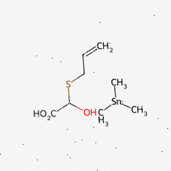 C=CCSC(O)C(=O)O.[CH3][Sn]([CH3])[CH3]